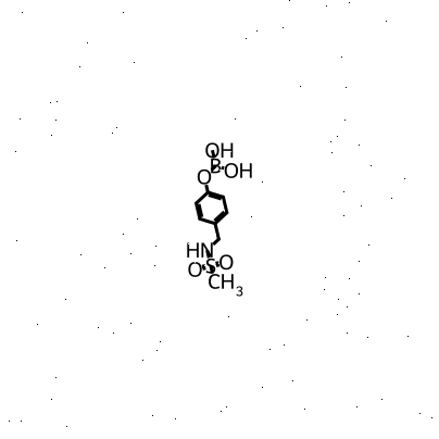 CS(=O)(=O)NCc1ccc(OB(O)O)cc1